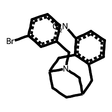 O=[N+]([O-])c1cccc2c1CC1CCC(C2)CN1Cc1cccc(Br)c1